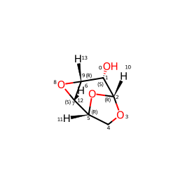 O[C@@H]1[C@@H]2OC[C@@H](O2)[C@@H]2O[C@H]12